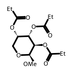 CCC(=O)O[C@@H]1[C@@H](OC(=O)CC)[C@@H](OC)OC[C@@H]1OC(=O)CC